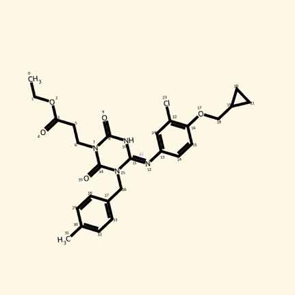 CCOC(=O)CCn1c(=O)[nH]/c(=N\c2ccc(OCC3CC3)c(Cl)c2)n(Cc2ccc(C)cc2)c1=O